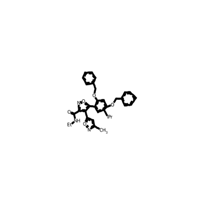 CCNC(=O)c1noc(-c2cc(C(C)C)c(OCc3ccccc3)cc2OCc2ccccc2)c1-c1cc(C)no1